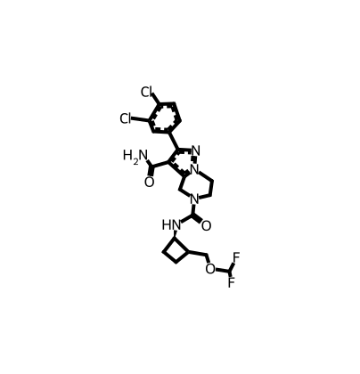 NC(=O)c1c(-c2ccc(Cl)c(Cl)c2)nn2c1CN(C(=O)N[C@@H]1CCC1COC(F)F)CC2